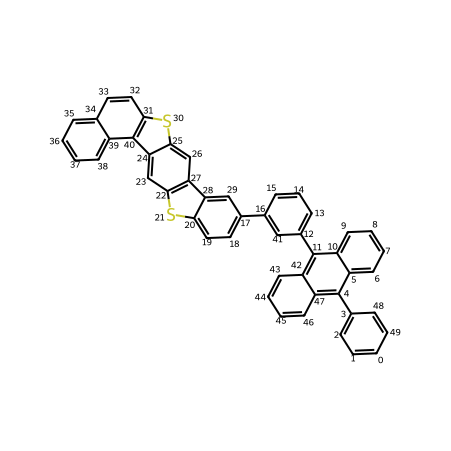 c1ccc(-c2c3ccccc3c(-c3cccc(-c4ccc5sc6cc7c(cc6c5c4)sc4ccc5ccccc5c47)c3)c3ccccc23)cc1